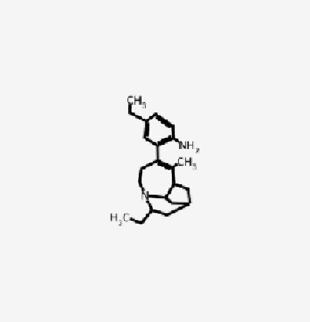 CCc1ccc(N)c(C2=C(C)C3CC4CC(CC)N(CC2)C3C4)c1